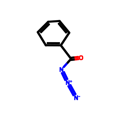 [N-]=[N+]=NC(=O)c1ccccc1